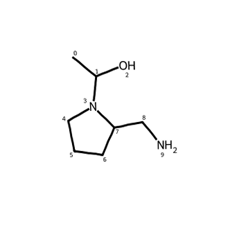 CC(O)N1CCCC1CN